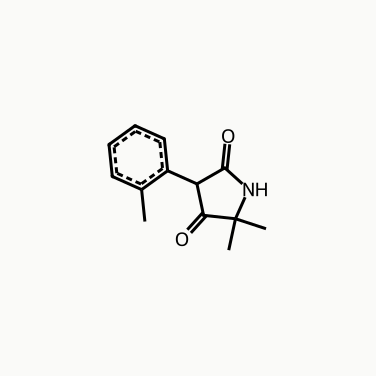 Cc1ccccc1C1C(=O)NC(C)(C)C1=O